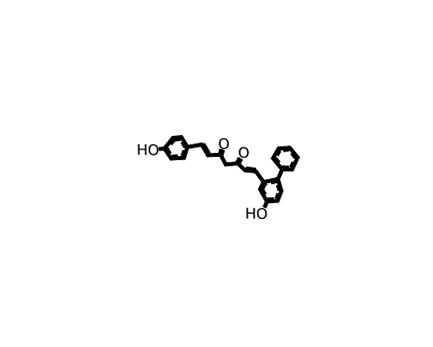 O=C(C=Cc1ccc(O)cc1)CC(=O)C=Cc1cc(O)ccc1-c1ccccc1